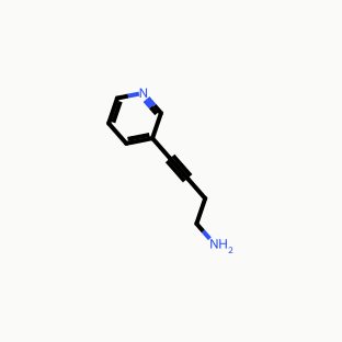 NCCC#Cc1cccnc1